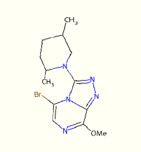 COc1ncc(Br)n2c(N3CC(C)CCC3C)nnc12